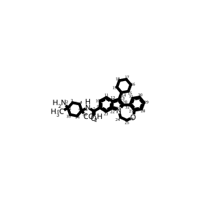 CC1(N)CCC(NC(=O)c2ccc3c(C4CCCCC4)c4n(c3c2)CCOc2ccccc2-4)(C(=O)O)CC1